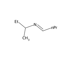 CCC/C=N/C(C)CC